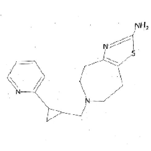 Nc1nc2c(s1)CCN(CC1CC1c1ccccn1)CC2